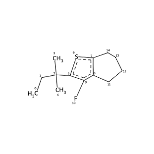 CCC(C)(C)c1sc2c(c1F)CCCC2